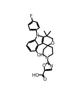 CC1(C)COC2(CCN(c3ncc(C(=O)O)o3)CC2)c2c1n(-c1ccc(F)cc1)c1cccc(O)c21